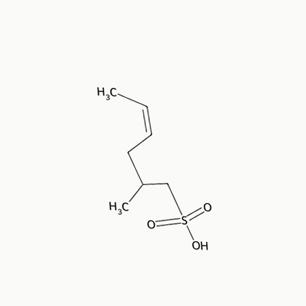 C/C=C\CC(C)CS(=O)(=O)O